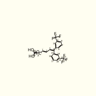 C/C=C/C=C(c1cccc(C(F)(F)F)c1)c1cccc(C(F)(F)F)c1.O=C(O)O